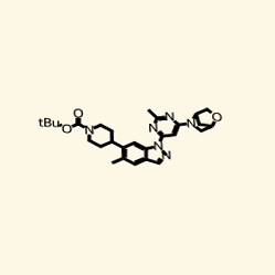 Cc1nc(N2CC3CC2CO3)cc(-n2ncc3cc(C)c(C4CCN(C(=O)OC(C)(C)C)CC4)cc32)n1